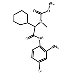 CN(C(=O)OC(C)(C)C)[C@@H](C(=O)Nc1ccc(Br)cc1N)C1CCCCC1